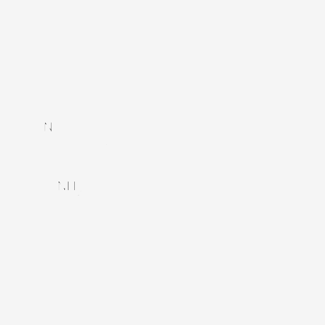 Nc1ncccc1C#CCc1ccccc1